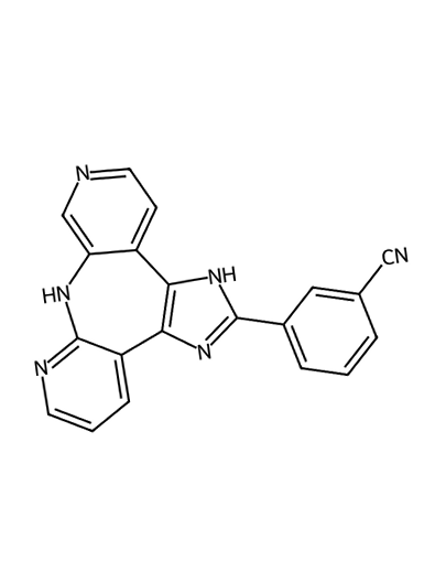 N#Cc1cccc(-c2nc3c([nH]2)-c2ccncc2Nc2ncccc2-3)c1